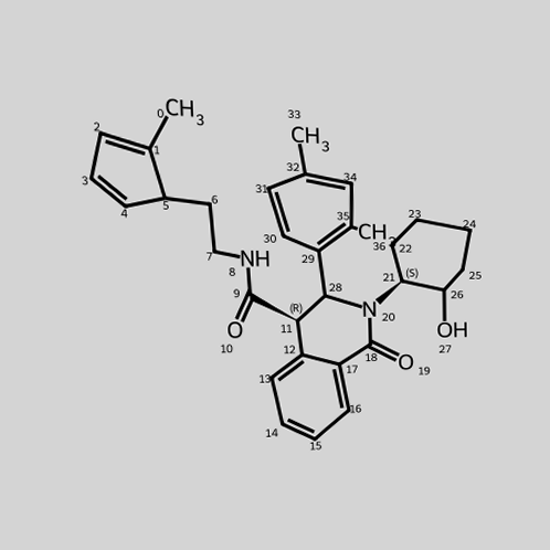 CC1=CC=CC1CCNC(=O)[C@@H]1c2ccccc2C(=O)N([C@H]2CCCCC2O)C1c1ccc(C)cc1C